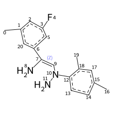 Cc1cc(F)cc(/C(N)=C/N(N)c2ccc(C)cc2C)c1